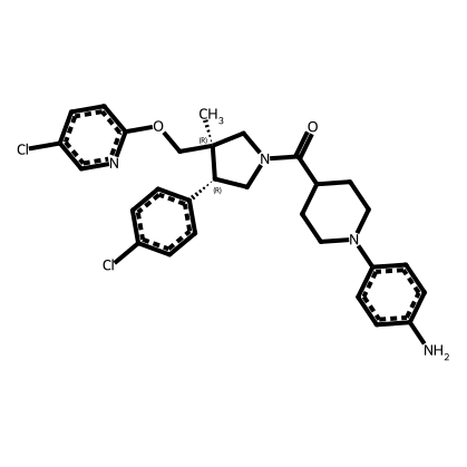 C[C@]1(COc2ccc(Cl)cn2)CN(C(=O)C2CCN(c3ccc(N)cc3)CC2)C[C@@H]1c1ccc(Cl)cc1